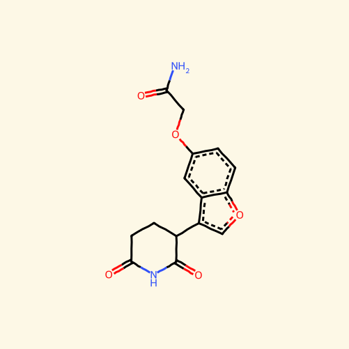 NC(=O)COc1ccc2occ(C3CCC(=O)NC3=O)c2c1